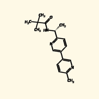 Cc1ccc(-c2ccc([C@@H](C)NC(=O)C(C)(C)C)nc2)cn1